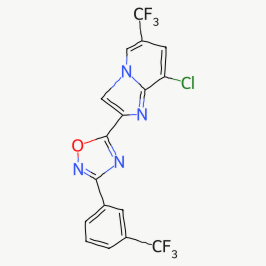 FC(F)(F)c1cccc(-c2noc(-c3cn4cc(C(F)(F)F)cc(Cl)c4n3)n2)c1